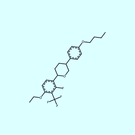 CCCCOc1ccc(C2CCC(c3ccc(OCC)c(C(F)(F)F)c3F)OC2)cc1